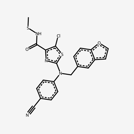 CSNC(=O)c1nc(N(Cc2ccc3occc3c2)c2ccc(C#N)cc2)sc1Cl